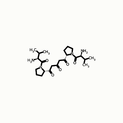 CC(C)[C@H](N)C(=O)N1CCC[C@H]1C(=O)CC(=O)CC(=O)[C@@H]1CCCN1C(=O)[C@@H](N)C(C)C